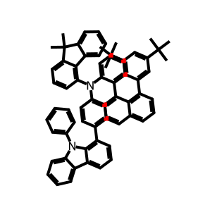 CC(C)(C)c1cc(-c2cccc3cccc(-c4ccccc4N(c4ccc(-c5cccc6c7ccccc7n(-c7ccccc7)c56)cc4)c4cccc5c4-c4ccccc4C5(C)C)c23)cc(C(C)(C)C)c1